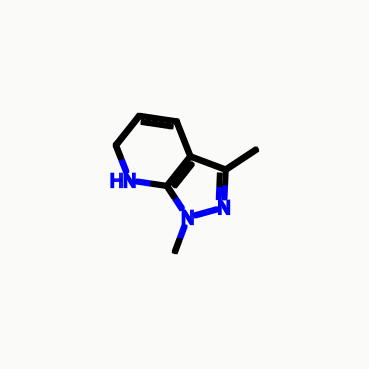 Cc1nn(C)c2c1C=CCN2